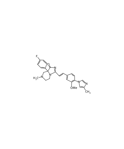 COc1cc(/C=C/C2=NC(=O)C3(c4ccc(F)cc4)CN(C)CCN23)ccc1-n1cnc(C)c1